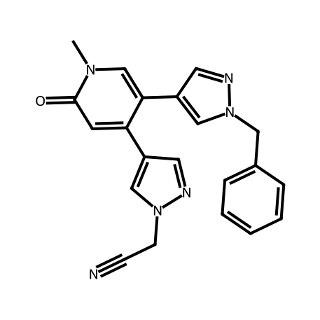 Cn1cc(-c2cnn(Cc3ccccc3)c2)c(-c2cnn(CC#N)c2)cc1=O